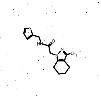 O=C(Cn1nc(C(F)(F)F)c2c1CCCC2)NCc1cccs1